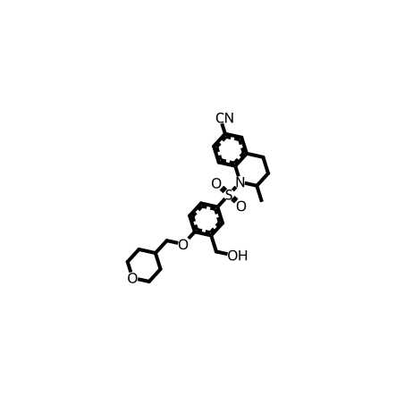 CC1CCc2cc(C#N)ccc2N1S(=O)(=O)c1ccc(OCC2CCOCC2)c(CO)c1